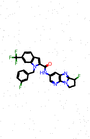 O=C(Nc1cnc2c(c1)nc1n2CCC1F)c1cc2ccc(C(F)(F)F)cc2n1Cc1cccc(F)c1